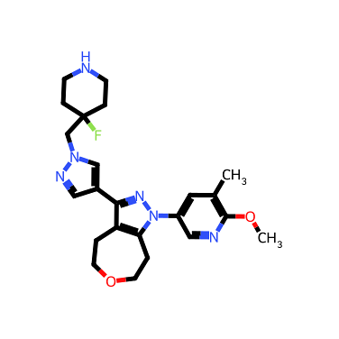 COc1ncc(-n2nc(-c3cnn(CC4(F)CCNCC4)c3)c3c2CCOCC3)cc1C